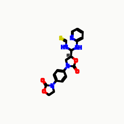 O=C1OCCN1c1ccc(N2C[C@@H](C(NC=S)Nc3ccccn3)OC2=O)cc1